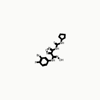 O/N=C(\Nc1ccc(F)c(Br)c1)c1nonc1NC(=S)NC1CCCC1